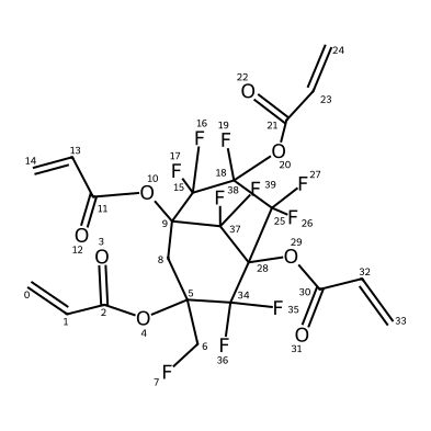 C=CC(=O)OC1(CF)CC2(OC(=O)C=C)C(F)(F)C(F)(OC(=O)C=C)C(F)(F)C(OC(=O)C=C)(C1(F)F)C2(F)F